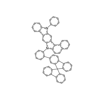 c1ccc(-n2c3ccccc3c3cc4c(cc32)c2c3ccccc3ccc2n4-c2ccccc2-c2ccc3c(c2)C2(c4ccccc4-c4ccccc42)c2ccccc2-3)cc1